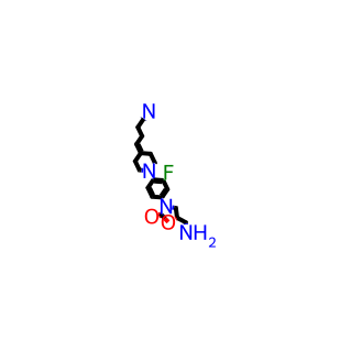 N#CCCC=C1CCN(c2ccc(N3CC(CN)OC3=O)cc2F)CC1